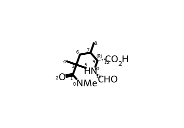 CNC(=O)C(C)(C)CC(C)[C@@H](NC=O)C(=O)O